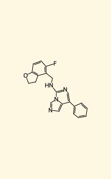 Fc1ccc2c(c1CNc1ncc(-c3ccccc3)c3cncn13)CCO2